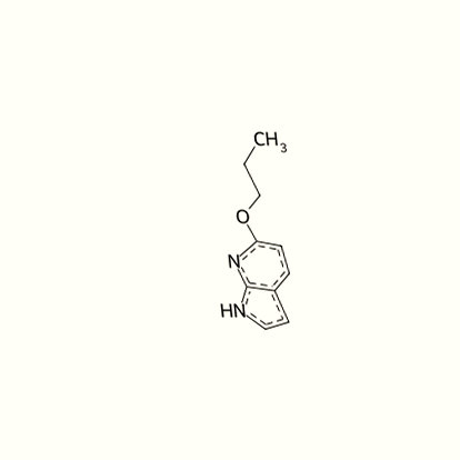 CCCOc1ccc2cc[nH]c2n1